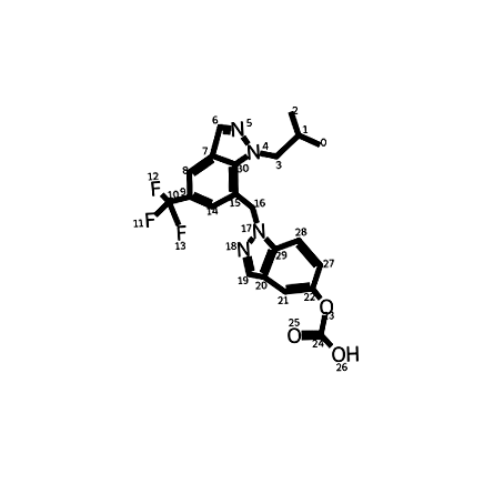 CC(C)Cn1ncc2cc(C(F)(F)F)cc(Cn3ncc4cc(OC(=O)O)ccc43)c21